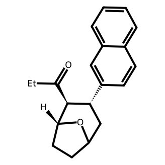 CCC(=O)[C@@H]1[C@H]2CCC(C[C@H]1c1ccc3ccccc3c1)O2